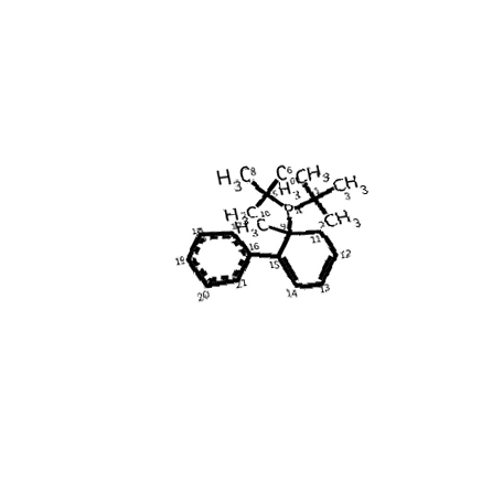 CC(C)(C)P(C(C)(C)C)C1(C)CC=CC=C1c1ccccc1